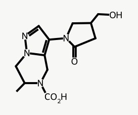 CC1Cn2ncc(N3CC(CO)CC3=O)c2CN1C(=O)O